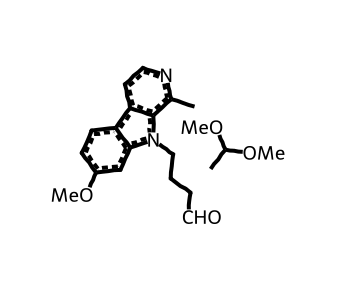 COC(C)OC.COc1ccc2c3ccnc(C)c3n(CCCC=O)c2c1